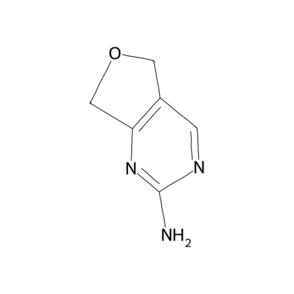 Nc1ncc2c(n1)COC2